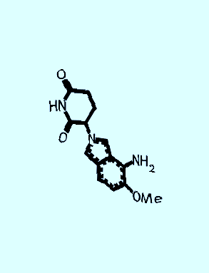 COc1ccc2cn(C3CCC(=O)NC3=O)cc2c1N